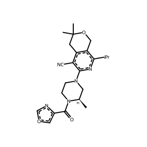 CC(C)c1nc(N2CCN(C(=O)c3cocn3)[C@H](C)C2)c(C#N)c2c1COC(C)(C)C2